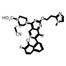 Cn1ccnc1CCOc1nc(N2CCN(C(=O)O)[C@@H](CC#N)C2)c2cnc(-c3cccc4ccc(F)c(Cl)c34)c(F)c2n1